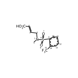 CN(C/C=C/C(=O)O)S(=O)(=O)c1ccccc1C(F)(F)F